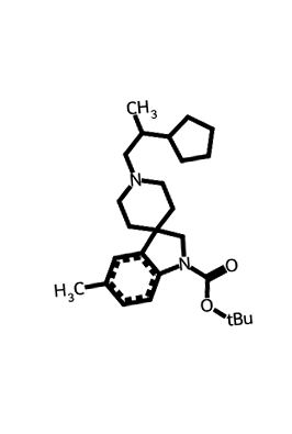 Cc1ccc2c(c1)C1(CCN(CC(C)C3CCCC3)CC1)CN2C(=O)OC(C)(C)C